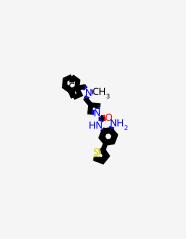 CN(CC1CN(C(=O)Nc2cc(-c3cccs3)ccc2N)C1)CC12CC3CC=C1C(C3)C2